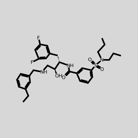 CCCN(CCC)S(=O)(=O)c1cccc(C(=O)N[C@@H](Cc2cc(F)cc(F)c2)[C@@H](O)CNCc2cccc(CC)c2)c1